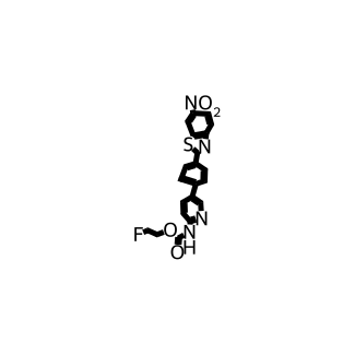 O=C(Nc1ccc(-c2ccc(-c3nc4ccc([N+](=O)[O-])cc4s3)cc2)cn1)OCCF